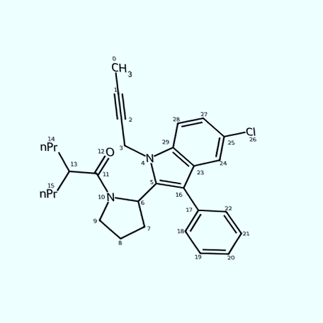 CC#CCn1c(C2CCCN2C(=O)C(CCC)CCC)c(-c2ccccc2)c2cc(Cl)ccc21